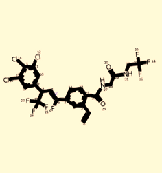 C=Cc1cc(/C(F)=C/C(c2cc(Cl)c(Cl)c(Cl)c2)C(F)(F)F)ccc1C(=O)NCC(=O)NCC(F)(F)F